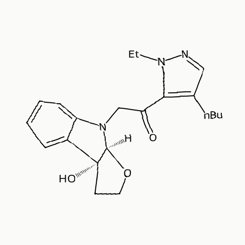 CCCCc1cnn(CC)c1C(=O)CN1c2ccccc2[C@]2(O)CCO[C@H]12